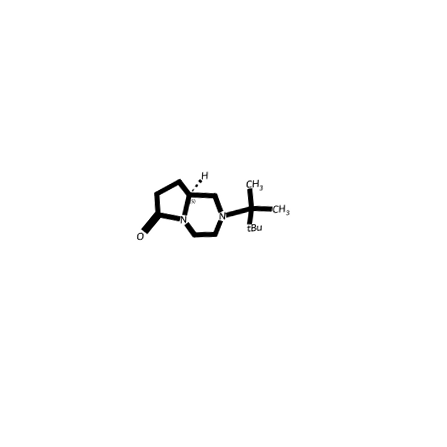 CC(C)(C)C(C)(C)N1CCN2C(=O)CC[C@H]2C1